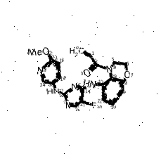 C=CC(=O)N1CCOc2cccc(Nc3nc(Nc4ccc(OC)nc4)ncc3F)c21